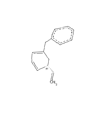 C=C[C@@H]1C=CC=C(Cc2ccccc2)C1